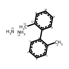 Cc1ccccc1-c1ccccc1C.N.N